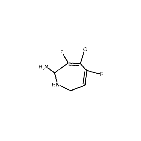 NC1NCC=C(F)C(Cl)=C1F